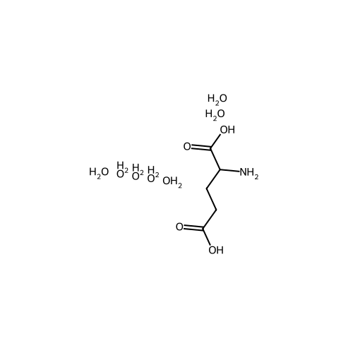 NC(CCC(=O)O)C(=O)O.O.O.O.O.O.O.O